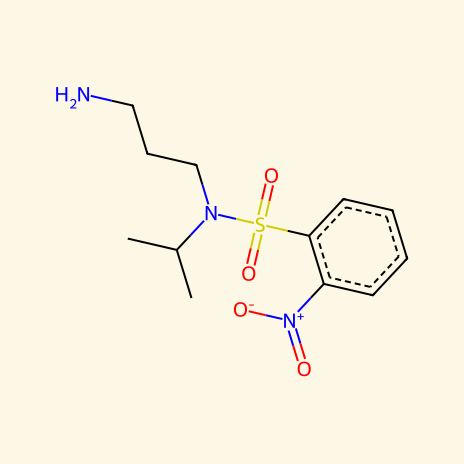 CC(C)N(CCCN)S(=O)(=O)c1ccccc1[N+](=O)[O-]